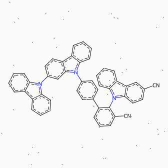 N#Cc1ccc2c(c1)c1ccccc1n2-c1c(C#N)cccc1-c1ccc(-n2c3ccccc3c3ccc(-n4c5ccccc5c5ccccc54)cc32)cc1